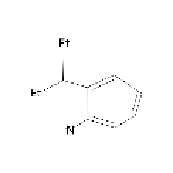 CCC(CC)c1ccccc1[N]